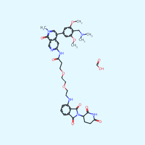 COc1cc(-c2cn(C)c(=O)c3cnc(NC(=O)CCOCCOCCNc4cccc5c4C(=O)N(C4CCC(=O)NC4=O)C5=O)cc23)cc(OC)c1CN(C)C.O=CO